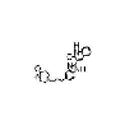 CN1CCN(CCCc2ccc3[nH]c(-c4cc5ccccc5[nH]c4=O)nc3c2)CCC1=O